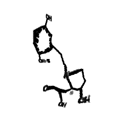 O=C(O)[C@@H]1C(O)CCN1CCc1cc(O)ccc1O